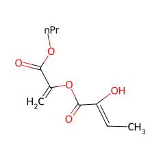 C=C(OC(=O)C(O)=CC)C(=O)OCCC